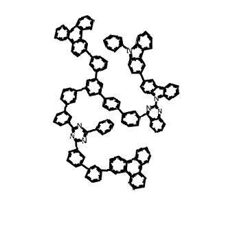 c1ccc(-c2nc(-c3cccc(-c4cccc(-c5cc(-c6ccc(-c7cccc(-c8nc(-n9c%10ccccc%10c%10cc(-c%11ccc%12c(c%11)c%11ccccc%11n%12-c%11ccccc%11)ccc%109)nc9ccccc89)c7)cc6)cc(-c6cccc(-c7ccc8c9ccccc9c9ccccc9c8c7)c6)c5)c4)c3)nc(-c3cccc(-c4cccc(-c5ccc6c7ccccc7c7ccccc7c6c5)c4)c3)n2)cc1